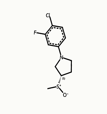 C[S+]([O-])[C@H]1CCN(c2ccc(Cl)c(F)c2)C1